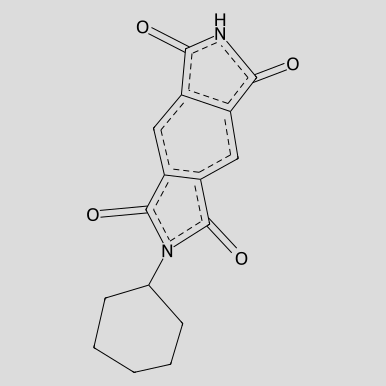 O=c1[nH]c(=O)c2cc3c(=O)n(C4CCCCC4)c(=O)c3cc12